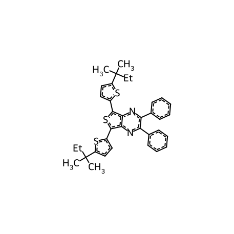 CCC(C)(C)c1ccc(-c2sc(-c3ccc(C(C)(C)CC)s3)c3nc(-c4ccccc4)c(-c4ccccc4)nc23)s1